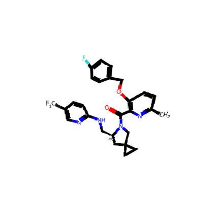 Cc1ccc(OCc2ccc(F)cc2)c(C(=O)N2CC3(CC3)C[C@H]2CNc2ccc(C(F)(F)F)cn2)n1